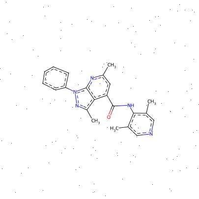 Cc1cc(C(=O)Nc2c(C)cncc2C)c2c(C)nn(-c3ccccc3)c2n1